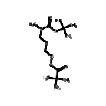 CN(COCOOC(=O)C(C)(C)C)C(=O)OC(C)(C)C